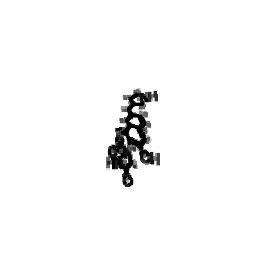 O=C1CN(c2c(O)cc3ccc(CC4CCNC4)cc3c2F)S(=O)(=O)N1